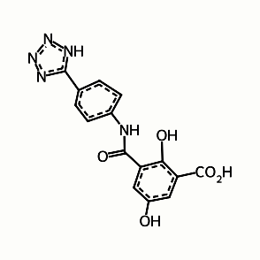 O=C(O)c1cc(O)cc(C(=O)Nc2ccc(-c3nnn[nH]3)cc2)c1O